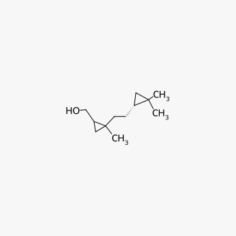 CC1(CC[C@@H]2CC2(C)C)CC1CO